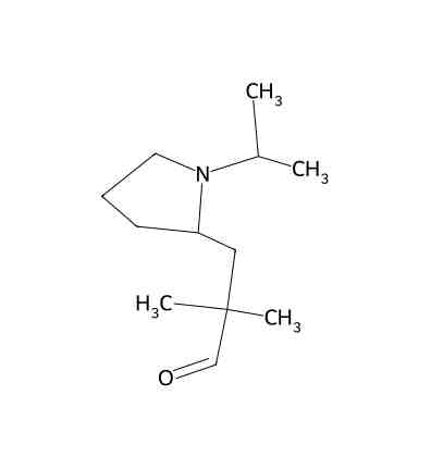 CC(C)N1CCCC1CC(C)(C)C=O